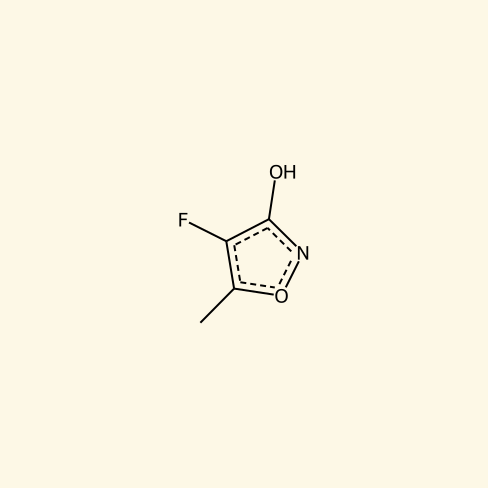 Cc1onc(O)c1F